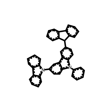 c1ccc(-n2c3ccc(C4c5ccccc5-c5ccccc54)cc3c3cc(-n4c5ccccc5c5ccccc54)ccc32)cc1